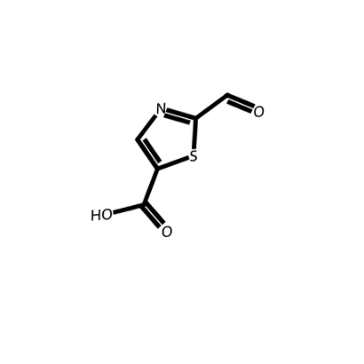 O=Cc1ncc(C(=O)O)s1